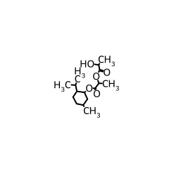 CC1CCC(C(C)C)C(OC(=O)C(C)OC(=O)C(C)O)C1